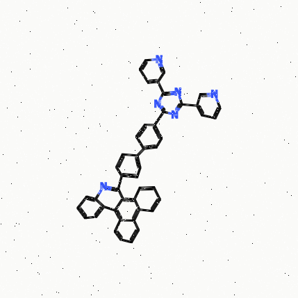 c1cncc(-c2nc(-c3ccc(-c4ccc(-c5nc6ccccc6c6c7ccccc7c7ccccc7c56)cc4)cc3)nc(-c3cccnc3)n2)c1